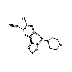 N#Cc1cc2c(cc1Cl)nc(N1CCNCC1)c1nncn12